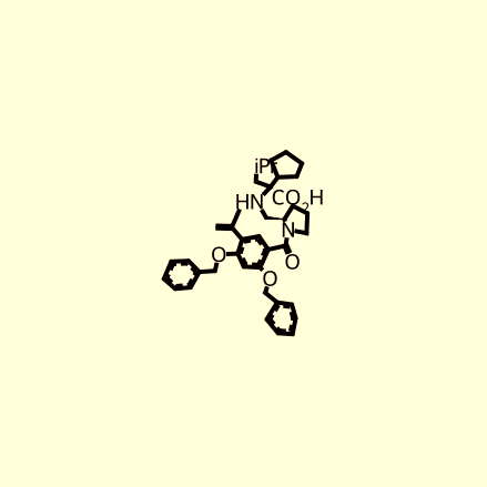 C=C(C)c1cc(C(=O)N2CCC[C@@H]2CN[C@@](CC(C)C)(C(=O)O)C2CCCC2)c(OCc2ccccc2)cc1OCc1ccccc1